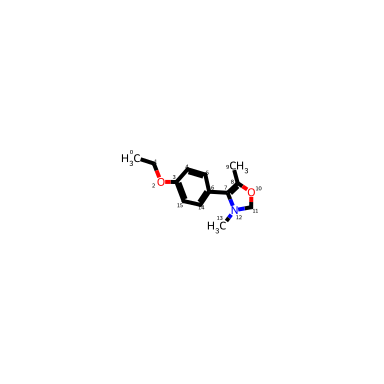 CCOc1ccc(C2=C(C)OCN2C)cc1